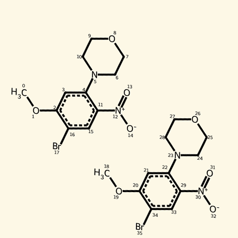 COc1cc(N2CCOCC2)c([N+](=O)[O-])cc1Br.COc1cc(N2CCOCC2)c([N+](=O)[O-])cc1Br